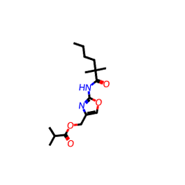 CCCCC(C)(C)C(=O)Nc1nc(COC(=O)C(C)C)co1